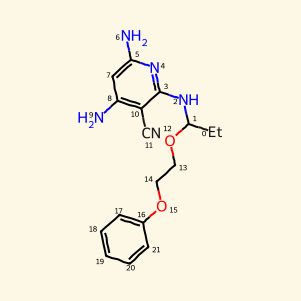 CCC(Nc1nc(N)cc(N)c1C#N)OCCOc1ccccc1